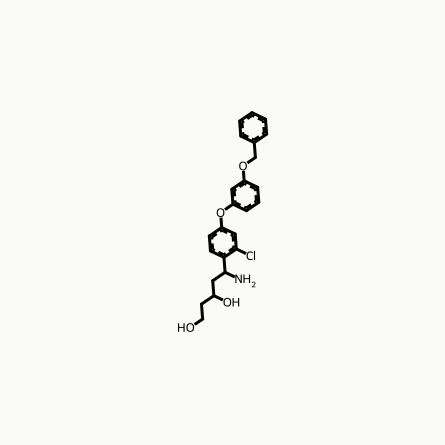 NC(CC(O)CCO)c1ccc(Oc2cccc(OCc3ccccc3)c2)cc1Cl